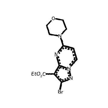 CCOC(=O)c1c(Br)nn2ccc(N3CCOCC3)nc12